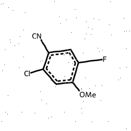 [C-]#[N+]c1cc(F)c(OC)cc1Cl